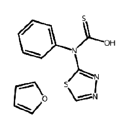 OC(=S)N(c1ccccc1)c1nncs1.c1ccoc1